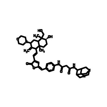 C=C1C(N2CCOCC2)CC2[C@](C)(CC[C@@H](O)[C@@]2(C)CO)C1/C=C/C1=CC(=C\c2ccc(NC(=O)CC(=O)NC3C4CN5CC3CN(C4)C5)cc2)/OC1=O